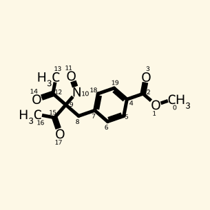 COC(=O)c1ccc(CC(N=O)(C(C)=O)C(C)=O)cc1